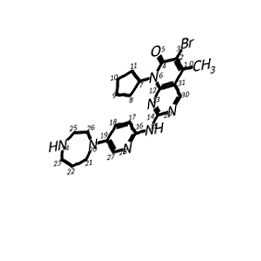 Cc1c(Br)c(=O)n(C2CCCC2)c2nc(Nc3ccc(N4CCCNCC4)cn3)ncc12